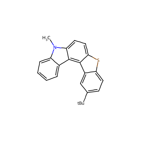 Cn1c2ccccc2c2c3c(ccc21)sc1ccc(C(C)(C)C)cc13